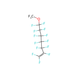 FC(F)=C(F)C(F)(F)C(F)(F)C(F)(F)C(F)(F)C(F)(F)OC(F)(F)F